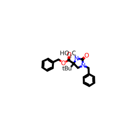 CC(C)(C)C1(C(=O)OCc2ccccc2)CN(Cc2ccccc2)C(=O)N1C(=O)O